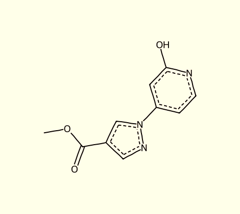 COC(=O)c1cnn(-c2ccnc(O)c2)c1